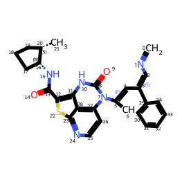 C=N/C=C(\C=C(/C)N1C(=O)Nc2c(C(=O)N[C@@H]3CCC[C@@H]3C)sc3nccc1c23)c1ccccc1